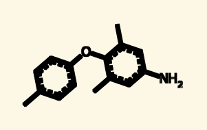 Cc1ccc(Oc2c(C)cc(N)cc2C)cc1